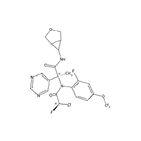 C[C@@](C(=O)NC1C2COCC21)(c1cncnc1)N(C(=O)[C@H](F)Cl)c1ccc(OC(F)(F)F)cc1F